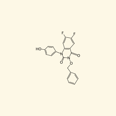 O=c1c2cc(F)c(F)cc2n(-c2ccc(O)cc2)c(=O)n1OCc1ccccc1